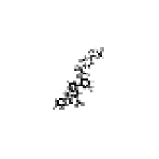 Cc1ccc(S(=O)(=O)n2c(C3CC3)cc3c(-c4cc(Cl)cc5c4OC(C(=O)N4CCN(C(=O)OC(C)(C)C)CC4)C5)ccnc32)cc1